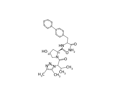 Cc1nnn(C(C(=O)N2C[C@H](O)C[C@H]2C(=O)NC(Cc2ccc(-c3ccccc3)cc2)C(N)=O)C(C)C)c1C